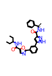 CCC(CC)NC(=O)c1cnc(-c2cccc(-c3cc(C(=O)N[C@H](C)c4ccccc4)n[nH]3)c2)o1